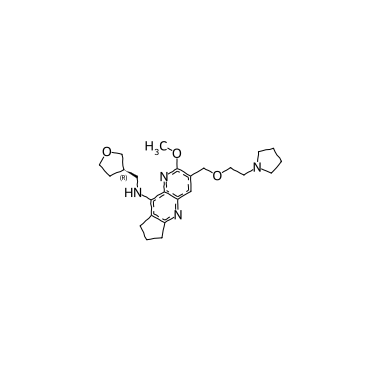 COc1nc2c(NC[C@H]3CCOC3)c3c(nc2cc1COCCN1CCCC1)CCC3